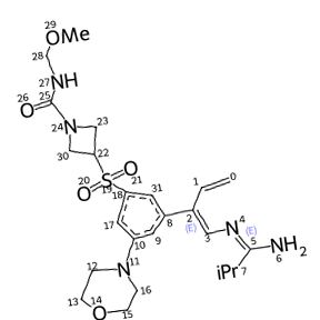 C=C/C(=C\N=C(\N)C(C)C)c1cc(N2CCOCC2)cc(S(=O)(=O)C2CN(C(=O)NCOC)C2)c1